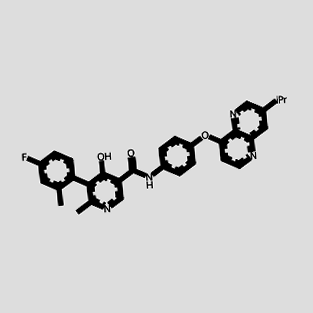 Cc1cc(F)ccc1-c1c(C)ncc(C(=O)Nc2ccc(Oc3ccnc4cc(C(C)C)cnc34)cc2)c1O